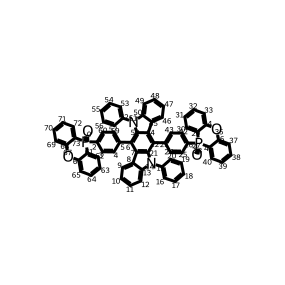 O=P1(c2ccc(-c3c4c5ccccc5n(-c5ccccc5)c4c(-c4ccc(P5(=O)c6ccccc6Oc6ccccc65)cc4)c4c5ccccc5n(-c5ccccc5)c34)cc2)c2ccccc2Oc2ccccc21